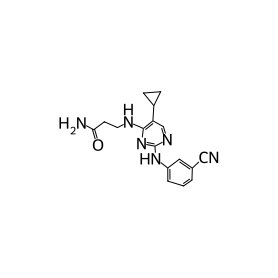 N#Cc1cccc(Nc2ncc(C3CC3)c(NCCC(N)=O)n2)c1